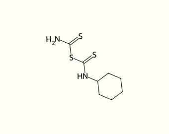 NC(=S)SC(=S)NC1CCCCC1